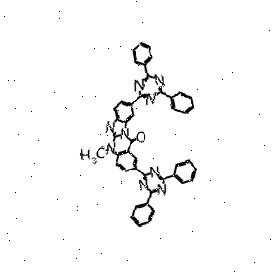 Cn1c2ccc(-c3nc(-c4ccccc4)nc(-c4ccccc4)n3)cc2c(=O)n2c3cc(-c4nc(-c5ccccc5)nc(-c5ccccc5)n4)ccc3nc12